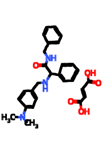 CN(C)c1ccc(CNC(C(=O)NCc2ccccc2)c2ccccc2)cc1.O=C(O)C=CC(=O)O